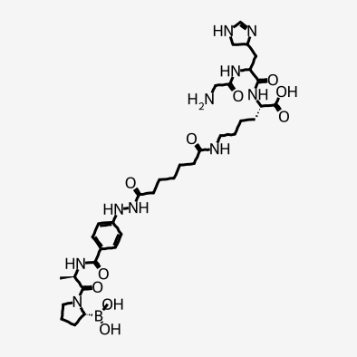 C[C@@H](NC(=O)c1ccc(NNC(=O)CCCCCC(=O)NCCCC[C@H](NC(=O)C(CC2CNC=N2)NC(=O)CN)C(=O)O)cc1)C(=O)N1CCC[C@H]1B(O)O